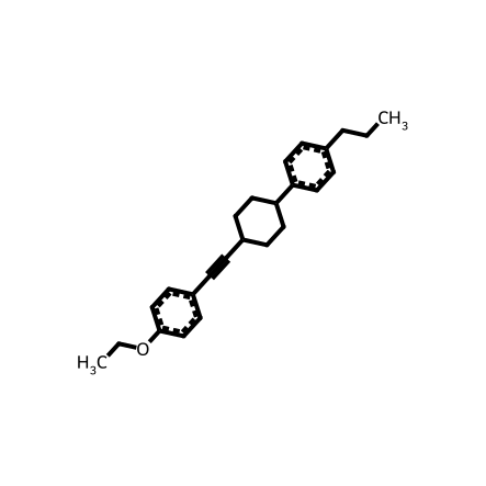 CCCc1ccc(C2CCC(C#Cc3ccc(OCC)cc3)CC2)cc1